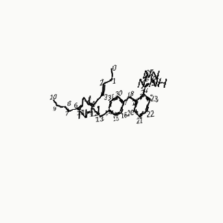 CCC=Cc1nc(CCCC)nn1Cc1ccc(Cc2ccccc2-c2nnn[nH]2)cc1